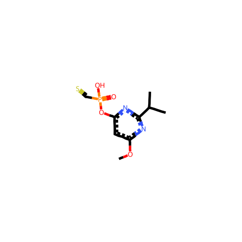 COc1cc(OP(=O)(O)C=S)nc(C(C)C)n1